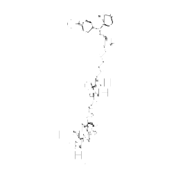 CN(CCCCCCCNC(=O)NSCCSCc1csc(N=C(N)N)n1)CCC(c1ccc(Cl)cc1)c1ccccn1